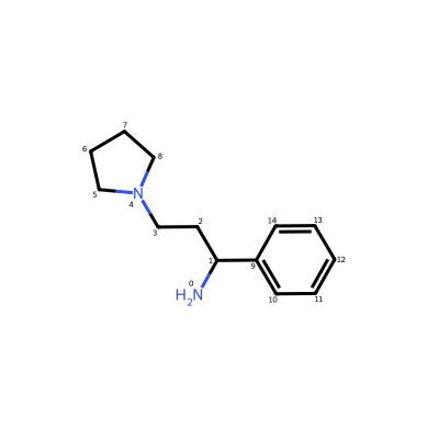 NC(CCN1CCCC1)c1ccccc1